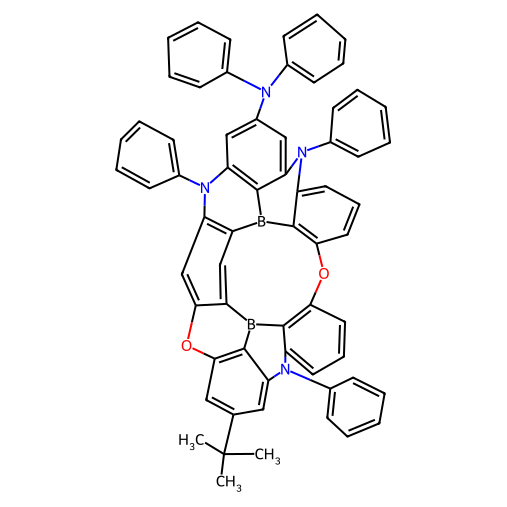 CC(C)(C)c1cc2c3c(c1)N(c1ccccc1)c1cccc4c1B3c1cc3c(cc1O2)N(c1ccccc1)c1cc(N(c2ccccc2)c2ccccc2)cc2c1B3c1c(cccc1N2c1ccccc1)O4